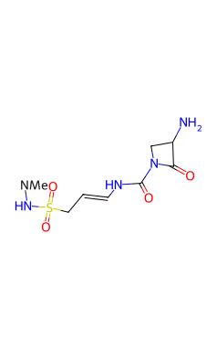 CNNS(=O)(=O)CC=CNC(=O)N1CC(N)C1=O